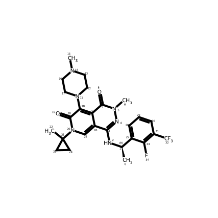 C[C@@H](Nc1nn(C)c(=O)c2c(N3CCN(C)CC3)c(=O)n(C3(C)CC3)cc12)c1cccc(C(F)(F)F)c1F